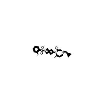 C[C@@H]1CCN(CC2CC2)CC(=O)N1C1CC2(C1)CN(S(=O)(=O)c1ccccc1F)C2